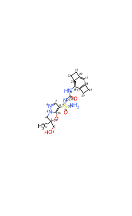 CC1(CO)Cn2ncc(S(N)(=O)=NC(=O)Nc3c4c(cc5c3CC5)CC4)c2O1